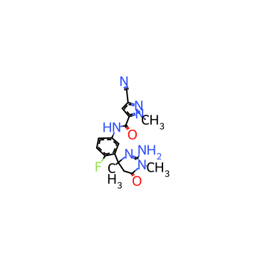 CN1C(=O)CC(C)(c2cc(NC(=O)c3cc(C#N)nn3C)ccc2F)N=C1N